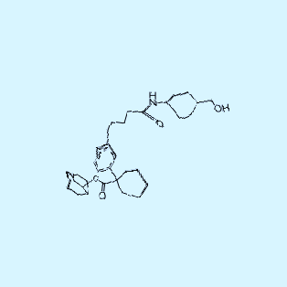 O=C(CCCc1cccc(C2(C(=O)OC3CN4CCC3CC4)CCCCC2)c1)NC1CCC(CO)CC1